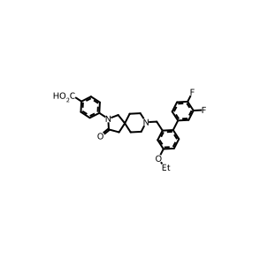 CCOc1ccc(-c2ccc(F)c(F)c2)c(CN2CCC3(CC2)CC(=O)N(c2ccc(C(=O)O)cc2)C3)c1